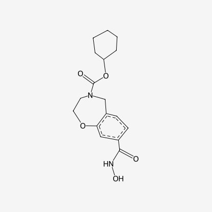 O=C(NO)c1ccc2c(c1)OCCN(C(=O)OC1CCCCC1)C2